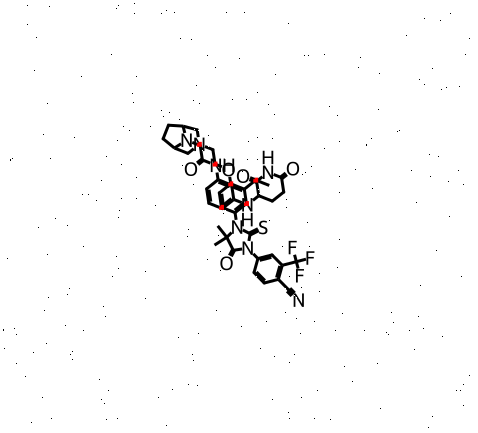 CCc1cc(N2C(=S)N(c3ccc(C#N)c(C(F)(F)F)c3)C(=O)C2(C)C)ccc1OCCN1CC2CCC(C1)N2CC(=O)Nc1cccc(NC2CCC(=O)NC2=O)c1